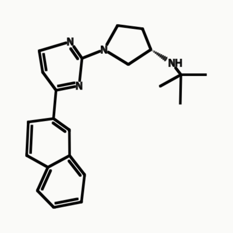 CC(C)(C)N[C@H]1CCN(c2nccc(-c3ccc4ccccc4c3)n2)C1